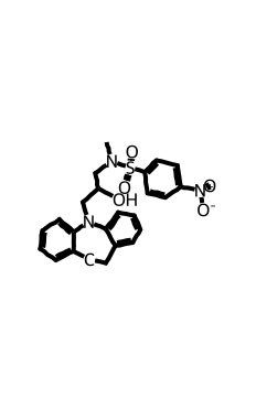 CN(CC(O)CN1c2ccccc2CCc2ccccc21)S(=O)(=O)c1ccc([N+](=O)[O-])cc1